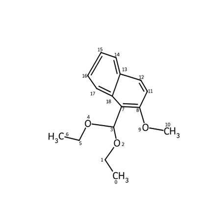 CCOC(OCC)c1c(OC)ccc2ccccc12